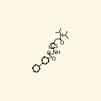 CC(C)N(C(=O)Cc1cnc(NS(=O)(=O)c2ccc(-c3ccccc3)cc2)s1)C(C)C